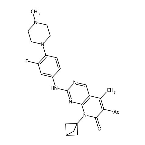 CC(=O)c1c(C)c2cnc(Nc3ccc(N4CCN(C)CC4)c(F)c3)nc2n(C23CC(C2)C3)c1=O